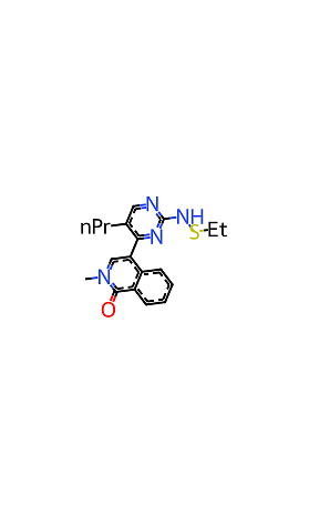 CCCc1cnc(NSCC)nc1-c1cn(C)c(=O)c2ccccc12